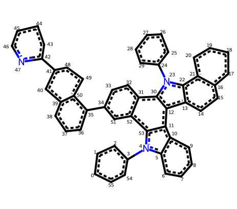 c1ccc(-n2c3ccccc3c3c4c5ccc6ccccc6c5n(-c5ccccc5)c4c4ccc(-c5cccc6cc(-c7ccccn7)ccc56)cc4c32)cc1